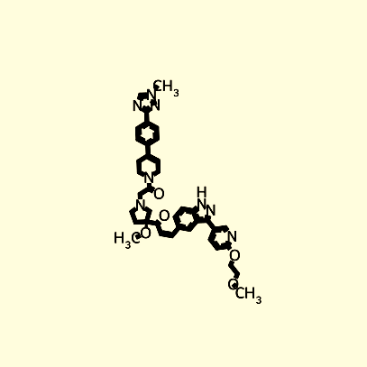 COCCOc1ccc(-c2n[nH]c3ccc(/C=C\C(=O)[C@]4(OC)CCN(CC(=O)N5CC=C(c6ccc(-c7ncn(C)n7)cc6)CC5)C4)cc23)cn1